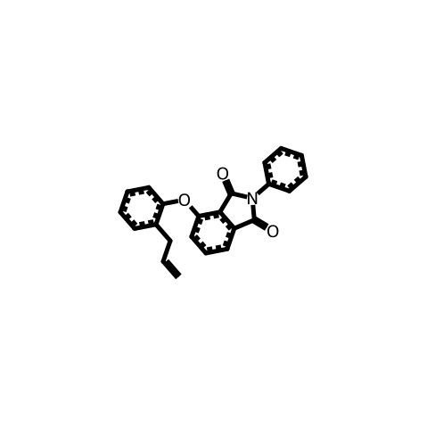 C=CCc1ccccc1Oc1cccc2c1C(=O)N(c1ccccc1)C2=O